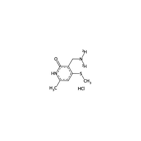 Cl.[2H]N([2H])Cc1c(SC)cc(C)[nH]c1=O